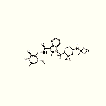 CSc1cc(C)[nH]c(=O)c1CNC(=O)c1c(C)n([C@H](C)C2CCC(NC3(C)COC3)CC23CC3)c2ccccc12